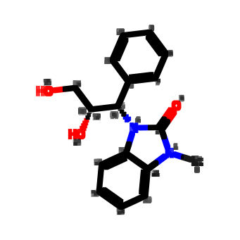 CCn1c(=O)n([C@@H](c2ccccc2)[C@H](O)CO)c2ccccc21